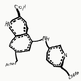 COc1ccc(Nc2cc(NC(C)=O)cc3[nH]c(C(=O)O)cc23)cn1